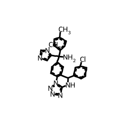 Cc1ccc(C(N)(c2ccc3c(c2)C(c2cccc(Cl)c2)Nc2nnnn2-3)c2cncn2C)cc1